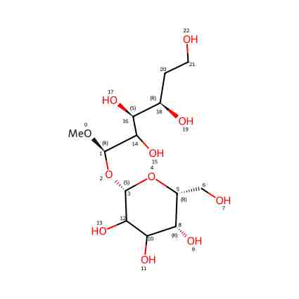 CO[C@H](O[C@@H]1O[C@H](CO)[C@H](O)C(O)C1O)C(O)[C@@H](O)[C@H](O)CCO